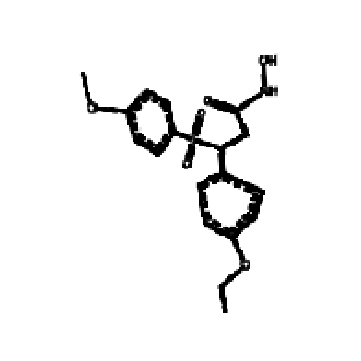 CCOc1ccc(C(CC(=O)NO)S(=O)(=O)c2ccc(OC)cc2)cc1